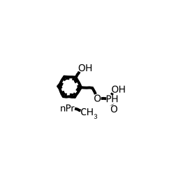 CCCC.O=[PH](O)OCc1ccccc1O